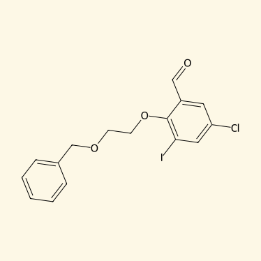 O=Cc1cc(Cl)cc(I)c1OCCOCc1ccccc1